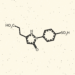 O=C(O)CCc1cc(=O)n(-c2ccc(S(=O)(=O)O)cc2)[nH]1